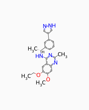 CCOc1cc2c(N[C@H](C)c3cccc(-c4cn[nH]c4)c3)nc(C)nc2cc1OC